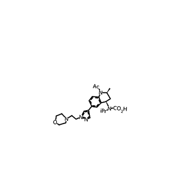 CC(=O)N1c2ccc(-c3cnn(CCN4CCOCC4)c3)cc2[C@H](N(C(=O)O)C(C)C)C[C@@H]1C